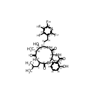 CC(C)CC1NC(=O)[C@H](C)[C@H](O)[C@H](CCc2c(F)nc(F)c(F)c2F)NC(=O)[C@@H](NC(=O)c2ccccc2O)[C@@H](C)NC1=O